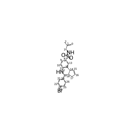 C=C(C)CNS(=O)(=O)c1ccc2c(c1)C1C=CCC1C(c1ccc(Br)cc1)N2